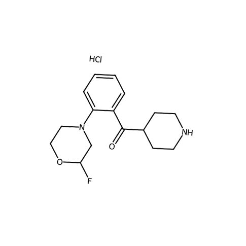 Cl.O=C(c1ccccc1N1CCOC(F)C1)C1CCNCC1